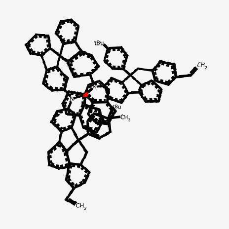 C=Cc1ccc(CC2(C3=CCC(C)(C(C)(C)C)C=C3)c3ccccc3-c3ccc(N(c4ccc5c(c4)C4(c6ccccc6-5)c5ccccc5-c5ccc(N(c6ccc7c(c6)C(Cc6ccc(C=C)cc6)(c6ccc(C(C)(C)C)cc6)c6ccccc6-7)c6cccc7ccccc67)cc54)c4cccc5ccccc45)cc32)cc1